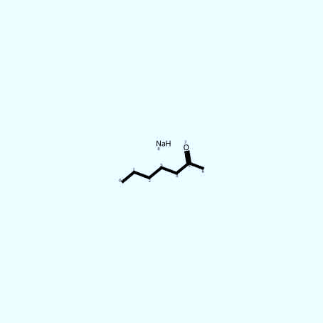 CCCCCC(C)=O.[NaH]